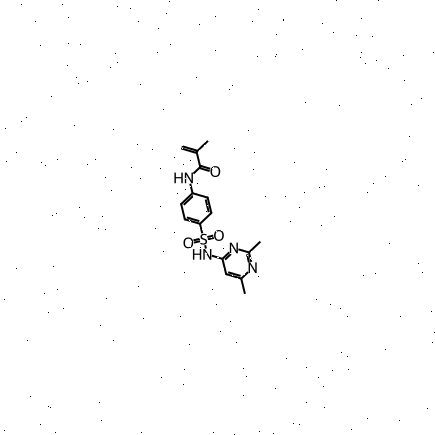 C=C(C)C(=O)Nc1ccc(S(=O)(=O)Nc2cc(C)nc(C)n2)cc1